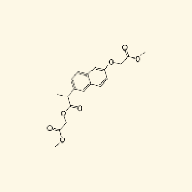 COC(=O)COC(=O)C(C)c1ccc2cc(OCC(=O)OC)ccc2c1